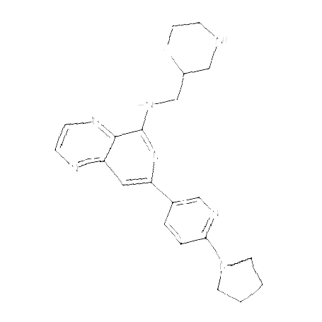 c1cnc2c(NCC3CNCCO3)nc(-c3ccc(N4CCCC4)nc3)cc2n1